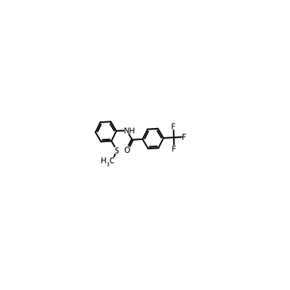 CSc1ccccc1NC(=O)c1ccc(C(F)(F)F)cc1